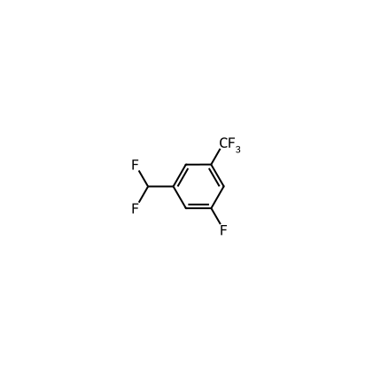 Fc1cc(C(F)F)cc(C(F)(F)F)c1